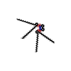 CCCCCCCCCCCCCCCCCCc1cccc(OC(=O)N2CN(C(=O)Oc3cccc(CCCCCCCCCCCCCCCCCC)c3CCCCCCCCCCCCCCCCCC)c3ccccc3-c3ccccc32)c1CCCCCCCCCCCCCCCCCC